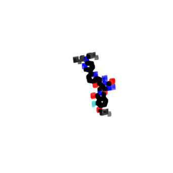 COc1ccc2c(c1F)C(=O)N(C[C@@]1(c3cc4nc(-c5ccc(N(C)C)nc5)ccc4o3)NC(=O)NC1=O)C2